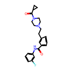 O=C(Nc1cccc(F)c1)c1cccc(CCN2CCN(C(=O)C3CC3)CC2)c1